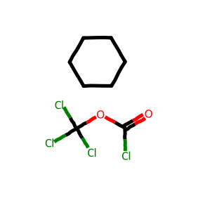 C1CCCCC1.O=C(Cl)OC(Cl)(Cl)Cl